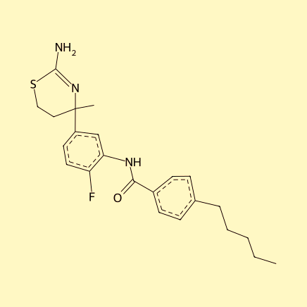 CCCCCc1ccc(C(=O)Nc2cc(C3(C)CCSC(N)=N3)ccc2F)cc1